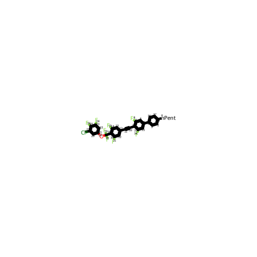 CCCCCc1ccc(-c2cc(F)c(C#Cc3cc(F)c(C(F)(F)Oc4cc(F)c(F)c(Cl)c4)c(F)c3)c(F)c2)cc1